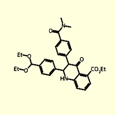 CCOC(=O)c1cccc2c1C(=O)C(c1ccc(C(=O)N(C)C)cc1)C(c1ccc(C(OCC)OCC)cc1)N2